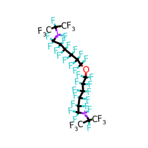 FI(C(F)(F)C(F)(F)C(F)(F)C(F)(F)C(F)(F)C(F)(F)OC(F)(F)C(F)(F)C(F)(F)C(F)(F)C(F)(F)C(F)(F)I(F)C(F)(C(F)(F)F)C(F)(F)F)C(F)(C(F)(F)F)C(F)(F)F